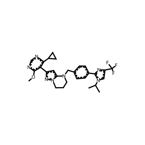 COc1ncnc(C2CC2)c1-c1cc2n(n1)CCCN2Cc1ccc(-c2nc(C(F)(F)F)cn2C(C)C)cc1